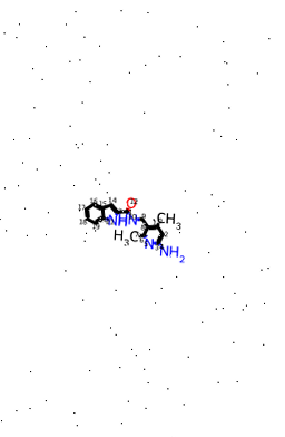 Cc1cc(N)nc(C)c1CNC(=O)c1cc2ccccc2[nH]1